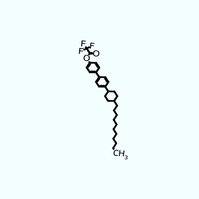 CCCCCCCCCCCC1CCC(c2ccc(-c3ccc(OC(=O)C(F)(F)F)cc3)cc2)CC1